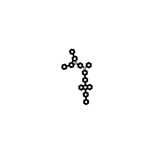 C1=CC2C(C=C1c1ccccc1)c1cc(-c3ccccc3)ccc1N2c1ccc(N(c2ccccc2)c2ccc(-c3ccc(-c4c5ccccc5c(-c5ccc(-c6ccccc6)cc5)c5ccccc45)cc3)cc2)cc1